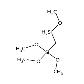 CO[SiH2]C[Si](OC)(OC)OC